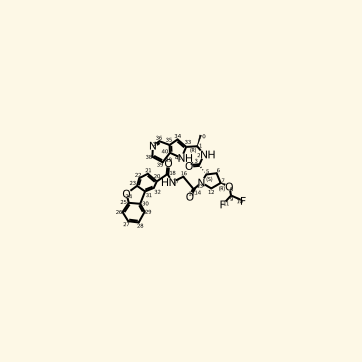 C[C@@H](NC(=O)[C@@H]1C[C@@H](OC(F)F)CN1C(=O)CNC(=O)c1ccc2oc3ccccc3c2c1)c1cc2cnccc2[nH]1